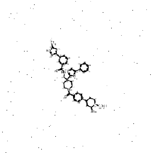 CC(C)(C)C1CC(c2ccc(C(=O)N3CCC(CNC(=O)c4cccc(-c5noc(C(F)(F)F)n5)c4)(c4nc(-c5ccccc5)cs4)CC3)cc2)CCN1C(=O)O